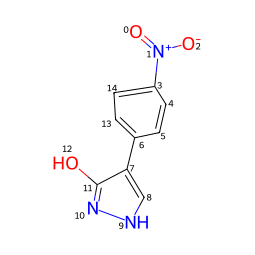 O=[N+]([O-])c1ccc(-c2c[nH]nc2O)cc1